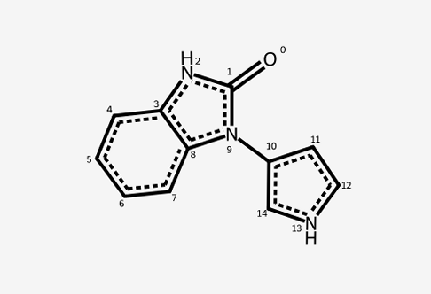 O=c1[nH]c2ccccc2n1-c1cc[nH]c1